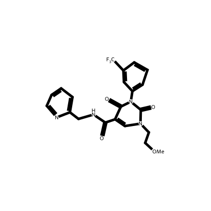 COCCn1cc(C(=O)NCc2ccccn2)c(=O)n(-c2cccc(C(F)(F)F)c2)c1=O